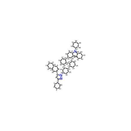 c1ccc(-c2cc(-c3ccc4ccccc4c3)n(-c3ccc(-c4ccccc4-c4ccccc4-c4ccc5c(c4)c4ccccc4n5-c4ccccc4)cc3)n2)cc1